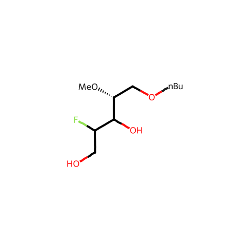 CCCCOC[C@@H](OC)C(O)C(F)CO